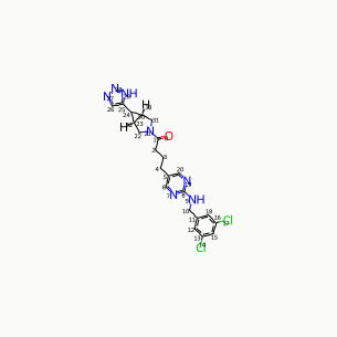 O=C(CCCc1cnc(NCc2cc(Cl)cc(Cl)c2)nc1)N1C[C@@H]2C(c3cnn[nH]3)[C@@H]2C1